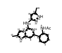 CC(=O)Nc1ccccc1-c1cc2nc(C)cn2c(Nc2cc(C)[nH]n2)n1